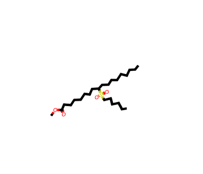 CCCCCCCCCC(CCCCCCCC(=O)OC)S(=O)(=O)CCCCCC